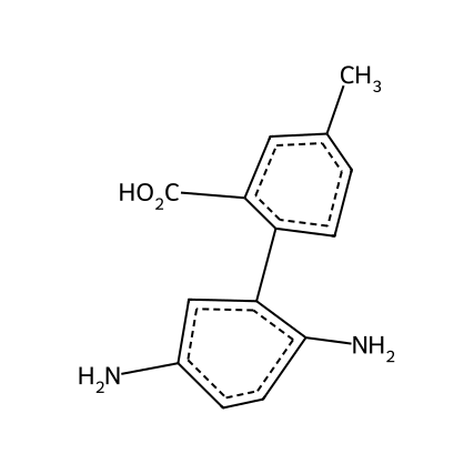 Cc1ccc(-c2cc(N)ccc2N)c(C(=O)O)c1